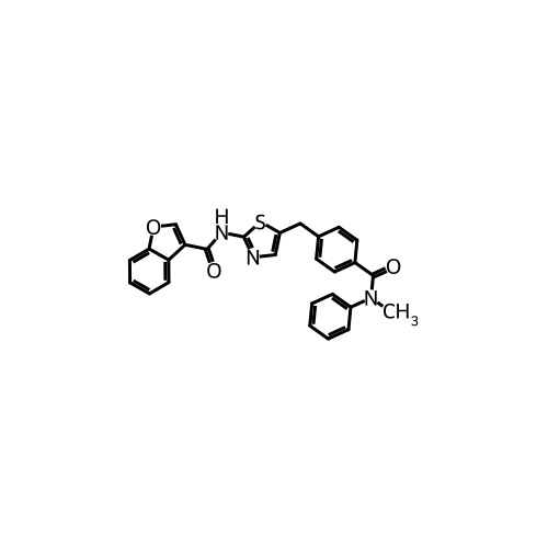 CN(C(=O)c1ccc(Cc2cnc(NC(=O)c3coc4ccccc34)s2)cc1)c1ccccc1